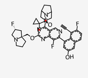 C#Cc1c(F)ccc2cc(O)cc(-c3ncc4c(N5CC6CCC(C5)N6C(=O)C5(F)CC5)nc(OC[C@@]56CCCN5C[C@H](F)C6)nc4c3F)c12